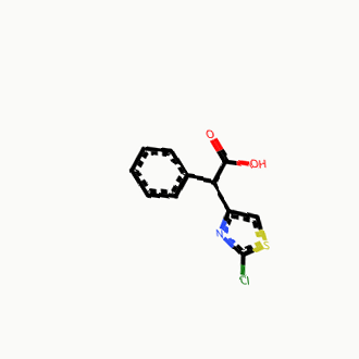 O=C(O)C(c1ccccc1)c1csc(Cl)n1